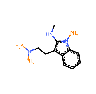 CNc1c(CCN(P)P)c2ccccc2n1P